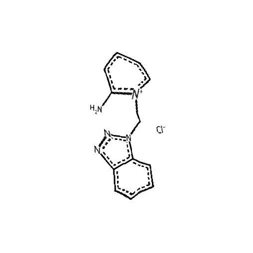 Nc1cccc[n+]1Cn1nnc2ccccc21.[Cl-]